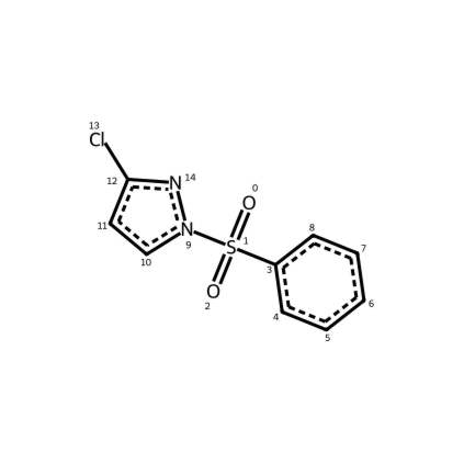 O=S(=O)(c1ccccc1)n1ccc(Cl)n1